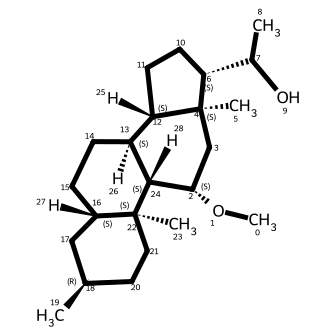 CO[C@H]1C[C@]2(C)[C@@H](C(C)O)CC[C@H]2[C@@H]2CC[C@H]3C[C@H](C)CC[C@]3(C)[C@H]21